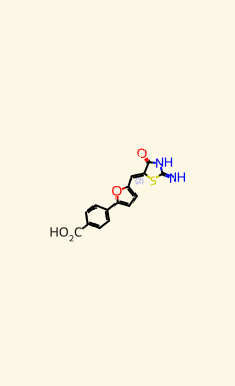 N=C1NC(=O)/C(=C/c2ccc(-c3ccc(C(=O)O)cc3)o2)S1